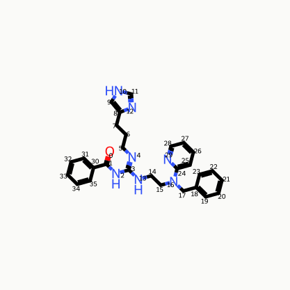 O=C(NC(=NCCCc1c[nH]cn1)NCCN(Cc1ccccc1)c1ccccn1)c1ccccc1